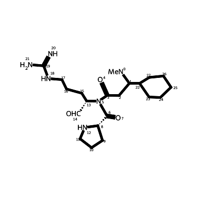 CNC(CC(=O)N(C(=O)[C@@H]1CCCN1)[C@H](C=O)CCCNC(=N)N)C1CCCCC1